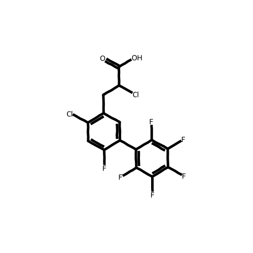 O=C(O)C(Cl)Cc1cc(-c2c(F)c(F)c(F)c(F)c2F)c(F)cc1Cl